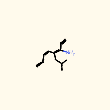 C=C/C=C\C(CC(C)C)=C(\N)C=C